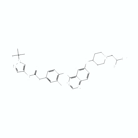 Cc1cc(CC(=O)Nc2cnn(C(C)(C)C)c2)ccc1Oc1ncnc2ccc(OC3CCN(CC(F)F)CC3)cc12